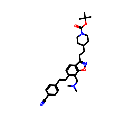 CN(C)Cc1c(C=Cc2ccc(C#N)cc2)ccc2c(CCC3CCN(C(=O)OC(C)(C)C)CC3)noc12